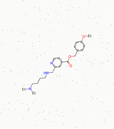 CCOc1ccc(COC(=O)c2ccnc(CNCCCCN(CC)CC)c2)cc1